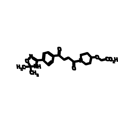 CC1(C)NC(c2ccc(C(=O)CCC(=O)N3CCC(OCC(=O)O)CC3)cc2)=NO1